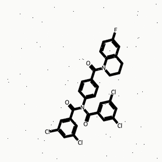 O=C(c1ccc(N(C(=O)c2cc(Cl)cc(Cl)c2)C(=O)c2cc(Cl)cc(Cl)c2)cc1)N1CCCc2cc(F)ccc21